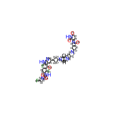 C[C@@]12CN(CC3CCN(c4ccc5c(c4)CN([C@@H]4CCC(=O)NC4=O)C5=O)CC3)C[C@@H]1CN(c1ccc(-c3cnc4[nH]cc(C(=O)c5c(F)ccc(NS(=O)(=O)N6CC[C@@H](F)C6)c5F)c4c3)cc1)C2